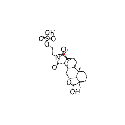 CC(C)C1CC23CCC4C(C)(C(=O)O)CCCC4(C)C2CC1C1C(=O)N(CCOS(=O)(=O)O)C(=O)C13